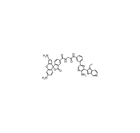 CCn1c(-c2nc(-c3cccc(NC(=O)CNC(=O)c4ccc5c(c4)C(=O)OC54c5ccc(N)cc5Oc5cc(N)ccc54)c3)cnc2N)nc2cnccc21